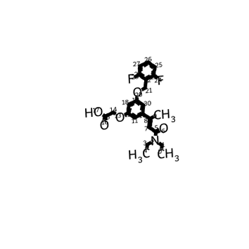 CCN(CC)C(=O)/C=C(\C)c1cc(OCC(=O)O)cc(OCc2c(F)cccc2F)c1